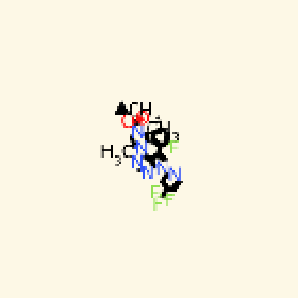 C[C@@H]1CN(c2ncnc3c2c(-c2ccccc2F)cn3-c2cc(C(F)(F)F)ccn2)[C@@H](C)CN1C(=O)OC1(C)CC1